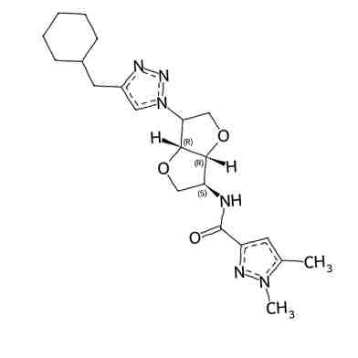 Cc1cc(C(=O)N[C@H]2CO[C@@H]3C(n4cc(CC5CCCCC5)nn4)CO[C@H]23)nn1C